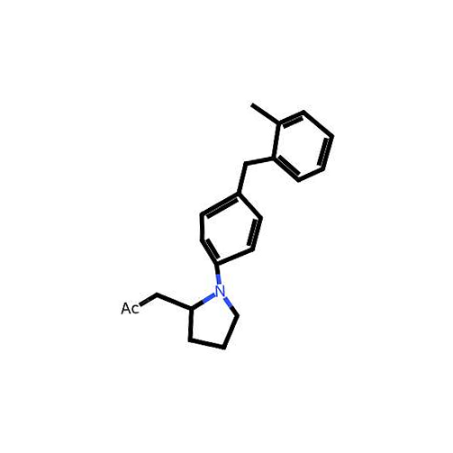 CC(=O)CC1CCCN1c1ccc(Cc2ccccc2C)cc1